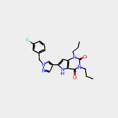 CCCn1c(=O)c2[nH]c(-c3cnn(Cc4cccc(F)c4)c3)cc2n(CCC)c1=O